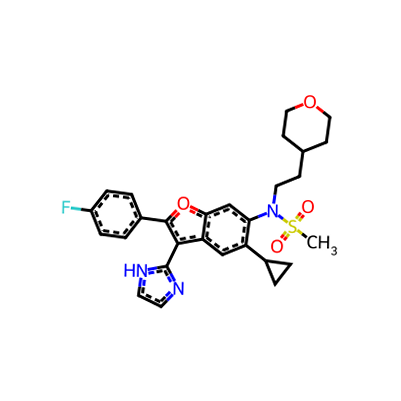 CS(=O)(=O)N(CCC1CCOCC1)c1cc2oc(-c3ccc(F)cc3)c(-c3ncc[nH]3)c2cc1C1CC1